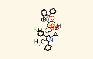 C=C(CO[PH](=O)CC(CC(=O)O)O[Si](c1ccccc1)(c1ccccc1)C(C)(C)C)c1c(C2CC2)nc(-c2ccccc2)c(C)c1-c1ccc(F)cc1